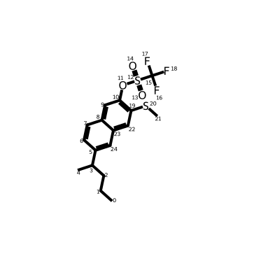 CCCC(C)c1ccc2cc(OS(=O)(=O)C(F)(F)F)c(SC)cc2c1